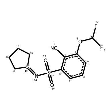 N#Cc1c(OC(F)F)cccc1S(=O)(=O)N=S1CCCC1